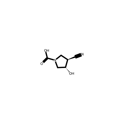 N#C[C@@H]1CN(C(=O)O)C[C@H]1O